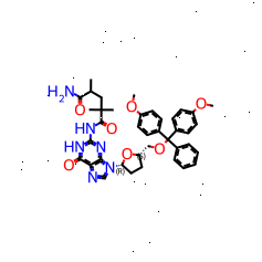 COc1ccc(C(OC[C@@H]2CC[C@H](n3cnc4c(=O)[nH]c(NC(=O)C(C)(C)CC(C)C(N)=O)nc43)O2)(c2ccccc2)c2ccc(OC)cc2)cc1